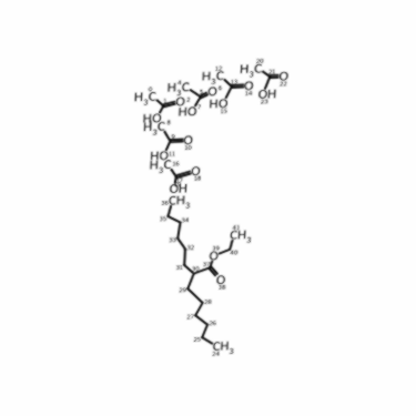 CC(=O)O.CC(=O)O.CC(=O)O.CC(=O)O.CC(=O)O.CC(=O)O.CCCCCCC(CCCCCC)C(=O)OCC